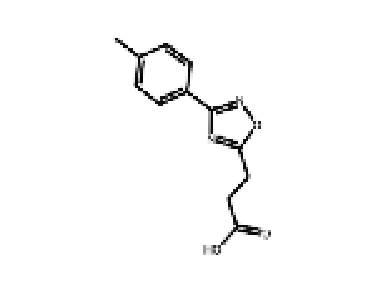 Cc1ccc(-c2noc(CCC(=O)O)n2)cc1